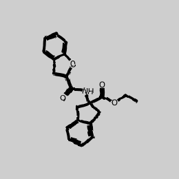 CCOC(=O)C1(NC(=O)C2Cc3ccccc3O2)Cc2ccccc2C1